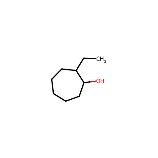 CCC1CCCCCC1O